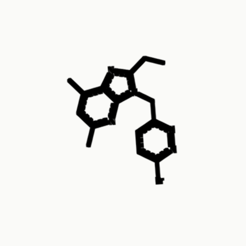 CCc1nc2c(C)cc(C)nc2n1Cc1ccc(Br)nn1